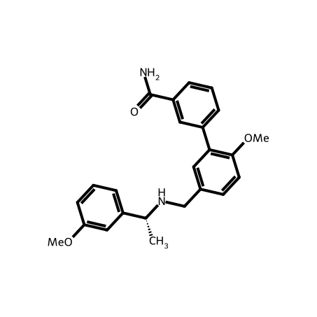 COc1cccc([C@@H](C)NCc2ccc(OC)c(-c3cccc(C(N)=O)c3)c2)c1